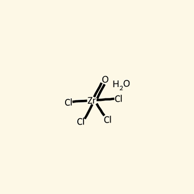 O.[O]=[Zr]([Cl])([Cl])([Cl])[Cl]